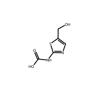 O=C(O)Nc1ncc(CO)s1